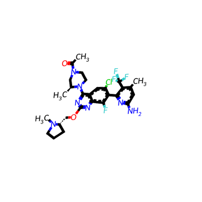 CC(=O)N1CCN(c2nc(OC[C@@H]3CCCN3C)nc3c(F)c(-c4nc(N)cc(C)c4C(F)(F)F)c(Cl)cc23)[C@@H](C)C1